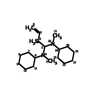 C=C[SiH2]C(N(C)C1CCCCC1)N(C)C1CCCCC1